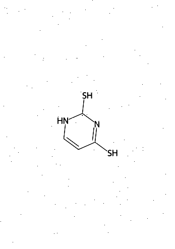 S[C]1N=C(S)C=CN1